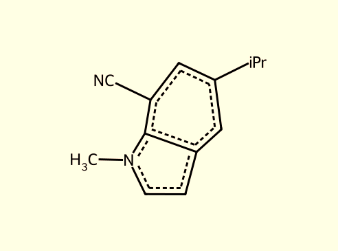 CC(C)c1cc(C#N)c2c(ccn2C)c1